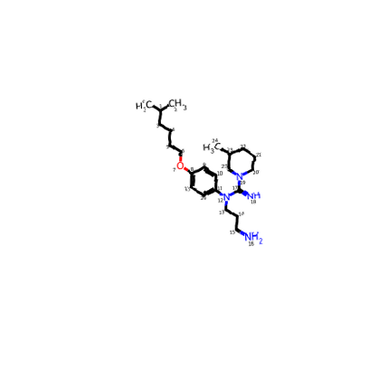 CC(C)CCCCOc1ccc(N(CCCN)C(=N)N2CCCC(C)C2)cc1